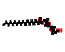 CCCCCCCCCCCCCCCCCC(=O)OCC(C)(C)OCCOC(C)(C)CO